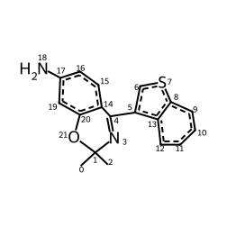 CC1(C)N=C(c2csc3ccccc23)c2ccc(N)cc2O1